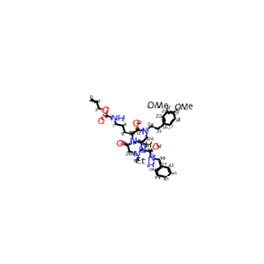 C=CCOC(=O)NCCC[C@H]1C(=O)N(CCc2ccc(OC)c(OC)c2)C[C@H]2N1C(=O)CN(CC)N2C(=O)NCc1ccccc1